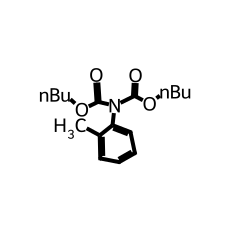 CCCCOC(=O)N(C(=O)OCCCC)c1ccccc1C